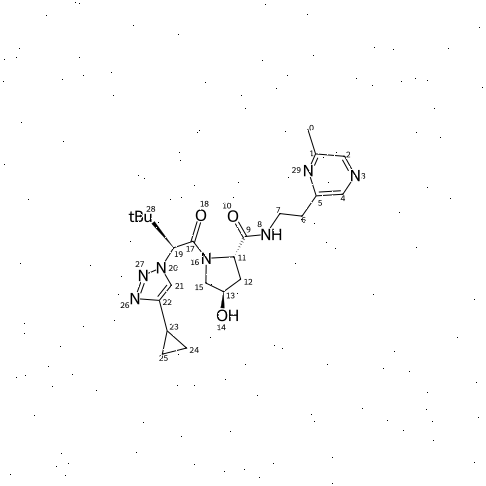 Cc1cncc(CCNC(=O)[C@@H]2C[C@@H](O)CN2C(=O)[C@@H](n2cc(C3CC3)nn2)C(C)(C)C)n1